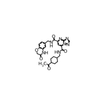 CC(=O)C1CCC(CNC(=O)c2cc(C(=O)NCc3ccc4c(c3)NC(=O)CO4)nc3ncnn23)CC1